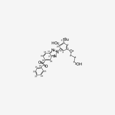 CC(C)(C)c1cc(OCCCO)cc(-n2nc3ccc(S(=O)(=O)c4ccccc4)cc3n2)c1O